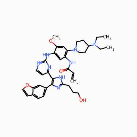 C=CC(=O)Nc1cc(Nc2nccc(-c3[nH]c(CCCO)nc3-c3ccc4ccoc4c3)n2)c(OC)cc1N1CCC(N(CC)CC)CC1